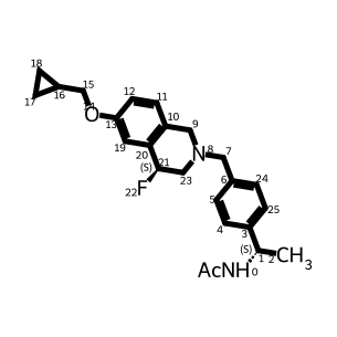 CC(=O)N[C@@H](C)c1ccc(CN2Cc3ccc(OCC4CC4)cc3[C@H](F)C2)cc1